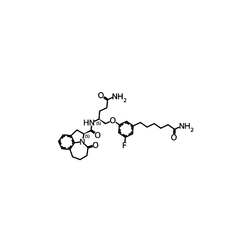 NC(=O)CCCCCc1cc(F)cc(OC[C@H](CCC(N)=O)NC(=O)[C@@H]2Cc3cccc4c3N2C(=O)CCC4)c1